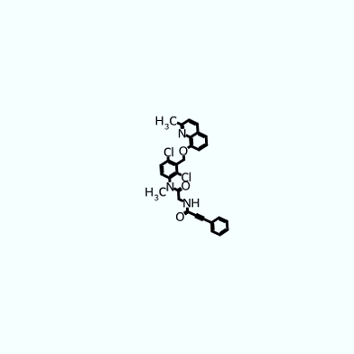 Cc1ccc2cccc(OCc3c(Cl)ccc(N(C)C(=O)CNC(=O)C#Cc4ccccc4)c3Cl)c2n1